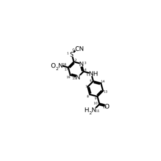 N#CSc1nc(Nc2ccc(C(N)=O)cc2)ncc1[N+](=O)[O-]